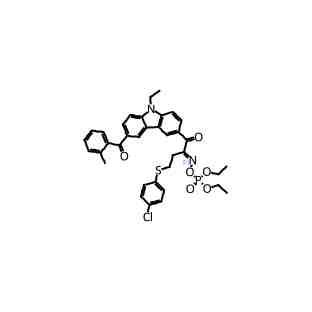 CCOP(=O)(OCC)O/N=C(\CCSc1ccc(Cl)cc1)C(=O)c1ccc2c(c1)c1cc(C(=O)c3ccccc3C)ccc1n2CC